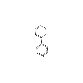 C1=CCCC(c2ccncc2)=C1